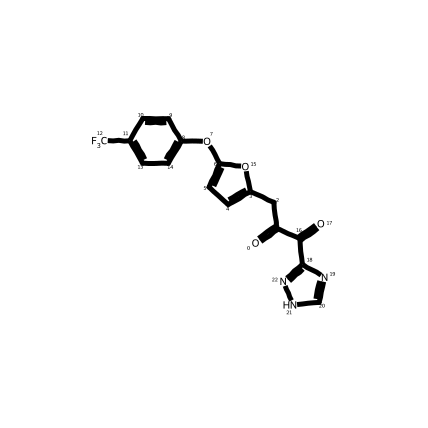 O=C(Cc1ccc(Oc2ccc(C(F)(F)F)cc2)o1)C(=O)c1nc[nH]n1